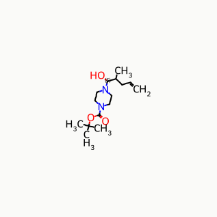 C=CCC(C)[C@H](O)N1CCN(C(=O)OC(C)(C)C)CC1